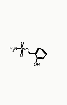 NS(=O)(=O)OCc1ccccc1O